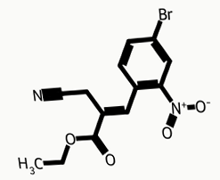 CCOC(=O)/C(=C/c1ccc(Br)cc1[N+](=O)[O-])CC#N